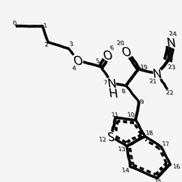 CCCCOC(=O)NC(Cc1csc2ccccc12)C(=O)N(C)C#N